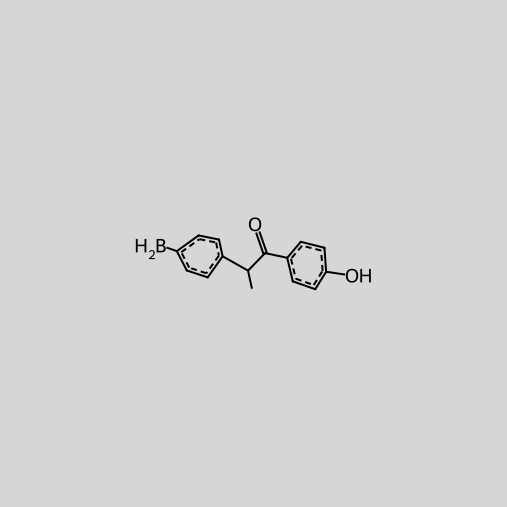 Bc1ccc(C(C)C(=O)c2ccc(O)cc2)cc1